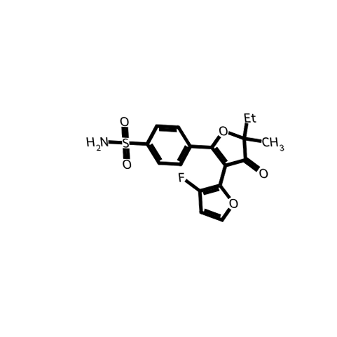 CCC1(C)OC(c2ccc(S(N)(=O)=O)cc2)=C(c2occc2F)C1=O